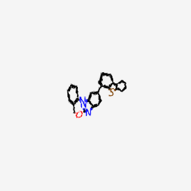 c1ccc2c(c1)COc1nc3ccc(-c4cccc5c4sc4ccccc45)cc3n1-2